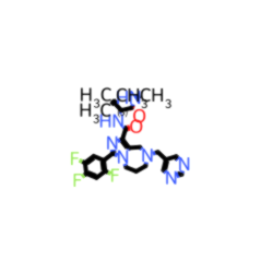 CNC(=O)[C@@H](NC(=O)c1nc(-c2cc(F)c(F)cc2F)n2c1CN(Cc1cncnc1)CCC2)C(C)(C)C